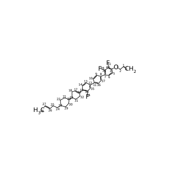 C=CCOc1ccc(-c2ccc(-c3ccc(C4=CCC(C5CCC(CC/C=C/C)CC5)CC4)c(F)c3)cc2)c(F)c1F